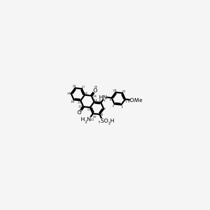 COc1ccc(Nc2cc(S(=O)(=O)O)c(N)c3c2C(=O)c2ccccc2C3=O)cc1